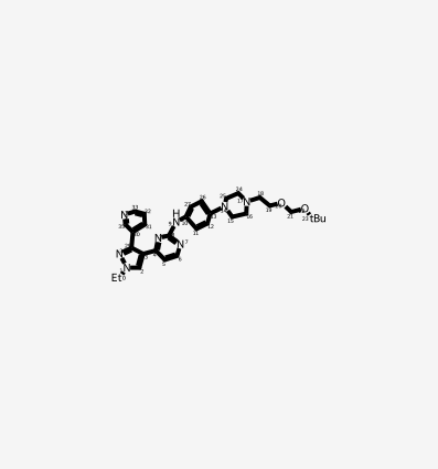 CCn1cc(-c2ccnc(Nc3ccc(N4CCN(CCOCOC(C)(C)C)CC4)cc3)n2)c(-c2cccnc2)n1